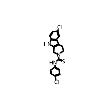 S=C(Nc1ccc(Cl)cc1)N1CCc2c([nH]c3ccc(Cl)cc23)C1